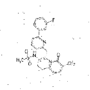 Cc1ccc2n(c1=O)[C@@H](Cc1cccc(-c3cccc(F)c3)n1)[C@@H](NS(C)(=O)=O)CC2